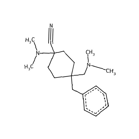 CN(C)CC1(Cc2ccccc2)CCC(C#N)(N(C)C)CC1